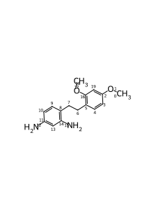 COc1ccc(CCc2ccc(N)cc2N)c(OC)c1